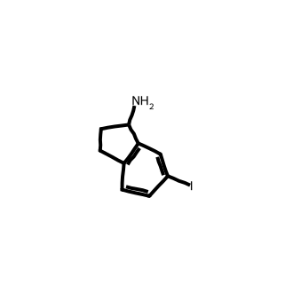 NC1CCc2ccc(I)cc21